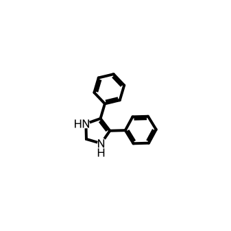 c1ccc(C2=C(c3ccccc3)NCN2)cc1